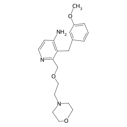 COc1cccc(Cc2c(N)ccnc2COCCN2CCOCC2)c1